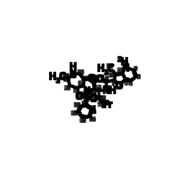 [2H]N1C=CC=C2OC(C(=O)N[C@@H](CC(C)C)C(=O)N([C@H]3CC[C@@H](C)NCC3=O)S(=O)(=O)c3ccccn3)C(C)=C21